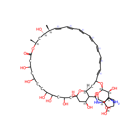 C[C@H]1C[C@H](O)[C@@H](C)/C=C/C=C/C=C/C=C/C=C/C=C/C=C/C(O[C@@H]2OC[C@@H](O)[C@H](N)[C@@H]2O)C[C@@H]2OC(O)(CC(O)CC(O)C(O)CCC(O)CC(O)CC(=O)O1)C[C@H](O)C2C(=O)NC1CCC[C@H]1O